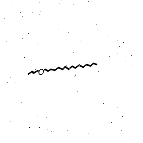 C/C=C/COCCCCCCCCCCCCCCCC